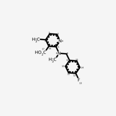 Cc1ccnc(N(C)Cc2ccc(F)cc2)c1C(=O)O